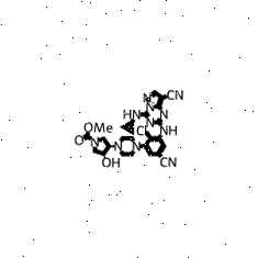 COC(=O)N1C[C@@H](O)[C@H](N2CCN(c3cc(C#N)cc(Nc4nc(NC5CC5)n5ncc(C#N)c5n4)c3Cl)CC2)C1